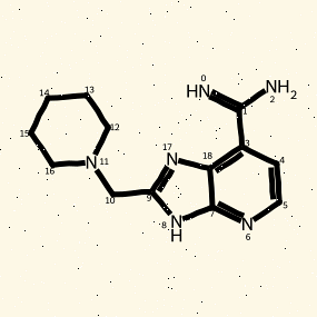 N=C(N)c1ccnc2[nH]c(CN3CCCCC3)nc12